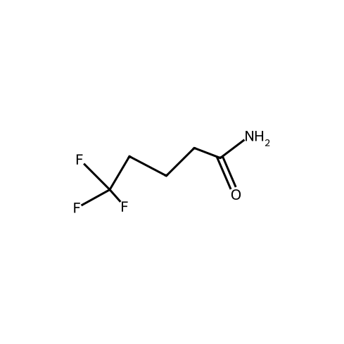 NC(=O)CCCC(F)(F)F